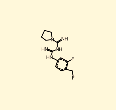 N=C(NC(=N)N1CCCC1)Nc1ccc(CF)c(F)c1